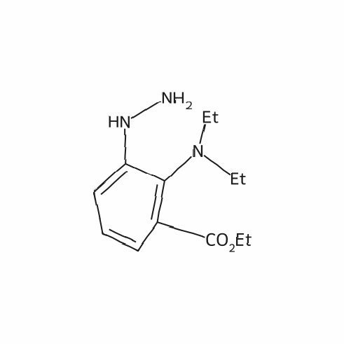 CCOC(=O)c1cccc(NN)c1N(CC)CC